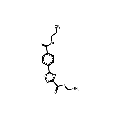 BCOC(=O)c1nc(-c2ccc(C(=O)NCCC(F)(F)F)cc2)ns1